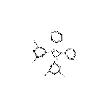 Clc1cc([C@@H]2[C@H](c3ccccc3)[C@H](c3ccccc3)[C@H]2c2cc(Cl)nc(Cl)n2)nc(Cl)n1